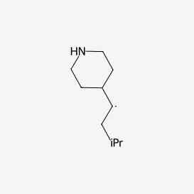 CC(C)C[CH]C1CCNCC1